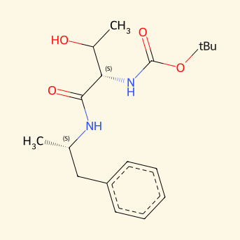 CC(O)[C@H](NC(=O)OC(C)(C)C)C(=O)N[C@@H](C)Cc1ccccc1